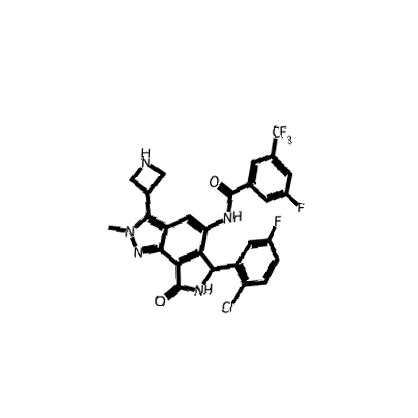 Cn1nc2c3c(c(NC(=O)c4cc(F)cc(C(F)(F)F)c4)cc2c1C1CNC1)C(c1cc(F)ccc1Cl)NC3=O